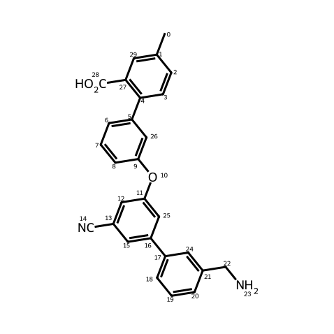 Cc1ccc(-c2cccc(Oc3cc(C#N)cc(-c4cccc(CN)c4)c3)c2)c(C(=O)O)c1